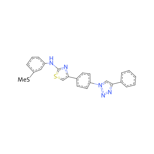 CSc1cccc(Nc2nc(-c3ccc(-n4cc(-c5ccccc5)nn4)cc3)cs2)c1